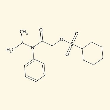 CC(C)N(C(=O)COS(=O)(=O)C1CCCCC1)c1ccccc1